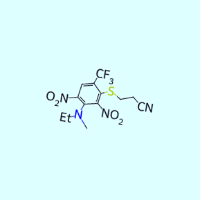 CCN(C)c1c([N+](=O)[O-])cc(C(F)(F)F)c(SCCC#N)c1[N+](=O)[O-]